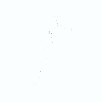 CC(=N)NCCCCCN